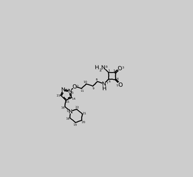 NC1C(=O)C(=O)C1NCCCCOn1cc(CN2CCCCC2)cn1